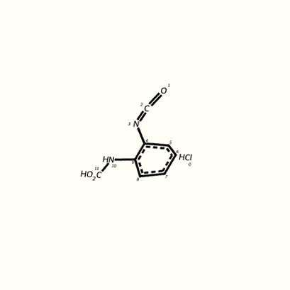 Cl.O=C=Nc1ccccc1NC(=O)O